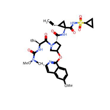 C=C[C@@H]1C[C@]1(NC(=O)[C@@H]1CC(Oc2nccc3cc(OC)ccc23)CN1C(=O)[C@@H](NC(=O)N(C)OC)C(C)(C)C)C(=O)NS(=O)(=O)C1CC1